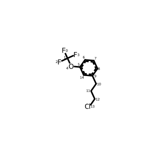 FC(F)(F)Oc1cccc(CCCCl)c1